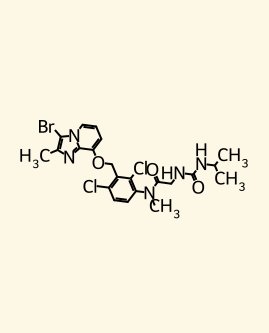 Cc1nc2c(OCc3c(Cl)ccc(N(C)C(=O)CNC(=O)NC(C)C)c3Cl)cccn2c1Br